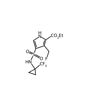 CCOC(=O)c1[nH]cc(S(=O)(=O)NC2(C(F)(F)F)CC2)c1CF